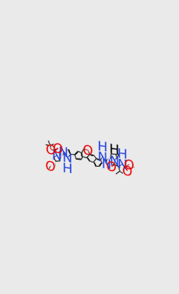 COC[C@H]1C[C@@H](c2ncc(-c3ccc4c(c3)COc3cc5c(ccc6nc([C@@H]7C[C@@H]8CC8N7C(=O)[C@@H](NC(=O)OC)C(C)C)[nH]c65)cc3-4)[nH]2)N(C(=O)OC(C)(C)C)C1